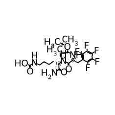 CC(C)(C)OC(=O)N[C@@H](Cc1c(F)c(F)c(F)c(F)c1F)C(=O)N[C@@H](CCCCNC(=O)O)C(N)=O